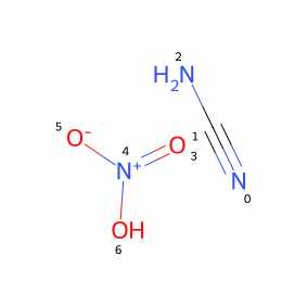 N#CN.O=[N+]([O-])O